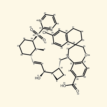 C[C@H]1[C@H](/C=C/[C@H](O)[C@@H]2CC[C@H]2CN2CC3(CCCc4cc(Cl)ccc43)COc3ccc(C(=O)O)cc32)CCC[C@H]1S(=O)(=O)c1ncccn1